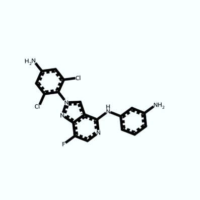 Nc1cccc(Nc2ncc(F)c3nn(-c4c(Cl)cc(N)cc4Cl)cc23)c1